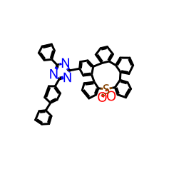 O=S1(=O)c2ccccc2-c2ccccc2-c2ccccc2-c2ccc(-c3nc(-c4ccccc4)nc(-c4ccc(-c5ccccc5)cc4)n3)cc2-c2ccccc21